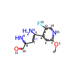 COc1cc(/C(N)=C/C(=N)C=O)c(F)cn1